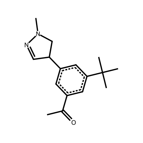 CC(=O)c1cc(C2C=NN(C)C2)cc(C(C)(C)C)c1